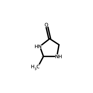 C[C]1NCC(=O)N1